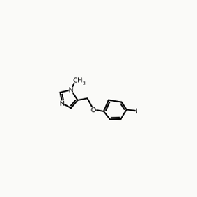 Cn1cncc1COc1ccc(I)cc1